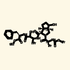 CCCC(NC(=O)[C@@H]1[C@H]2CCC(O)[C@H]2CN1C(=O)[C@@H](NC(=O)OC(C)C)C(C)C)C(O)C(=O)N[C@@H](Cc1ccccc1)C(=O)OC(C)(C)C